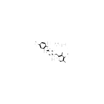 COc1ccc2[nH]c(S(=O)(=O)NCc3ncc(C)c(OC)c3C)nc2c1.[MgH2]